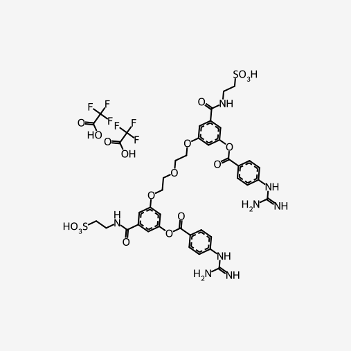 N=C(N)Nc1ccc(C(=O)Oc2cc(OCCOCCOc3cc(OC(=O)c4ccc(NC(=N)N)cc4)cc(C(=O)NCCS(=O)(=O)O)c3)cc(C(=O)NCCS(=O)(=O)O)c2)cc1.O=C(O)C(F)(F)F.O=C(O)C(F)(F)F